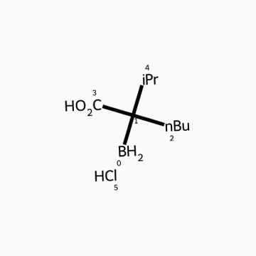 BC(CCCC)(C(=O)O)C(C)C.Cl